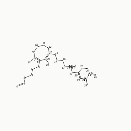 C=CCCCCC1=C(\C)CCCC/C(CCCCNC/C(=C/N(C)N=C)CC)=C\1C